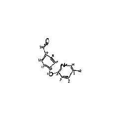 Cc1ccc(Oc2ccc(C=O)cc2)nc1